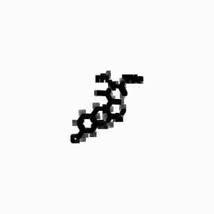 C=C(NC)N(CCC)C(=C)C(=C)N(Cc1ccc(Cl)cc1)/C(CC)=N\C